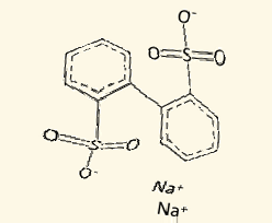 O=S(=O)([O-])c1ccccc1-c1ccccc1S(=O)(=O)[O-].[Na+].[Na+]